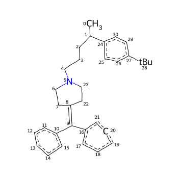 CC(CCCN1CCC(=C(c2ccccc2)c2ccccc2)CC1)c1ccc(C(C)(C)C)cc1